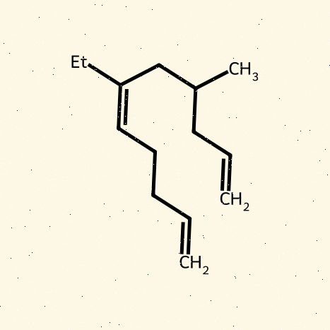 C=CCCC=C(CC)CC(C)CC=C